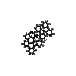 c1ccc2c(c1)N=C(c1cccc3c1-c1ccccc1C31c3ccccc3-c3ccccc31)NC2n1c2ccccc2c2c3ccccc3c3ccccc3c21